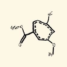 [C-]#[N+]c1cc(OC(C)C)cc(C(=O)OC)c1